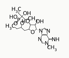 CCC(CC1O[C@@H](n2cnc3c(=N)n(C)cnc32)[C@H](O)[C@@H]1O)OP(=O)(O)C(O)(CC)CC